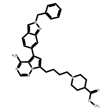 COC(=O)C1CCN(CCCCc2cc(-c3ccc4cn(Cc5ccccc5)nc4c3)c3c(N)ncnn23)CC1